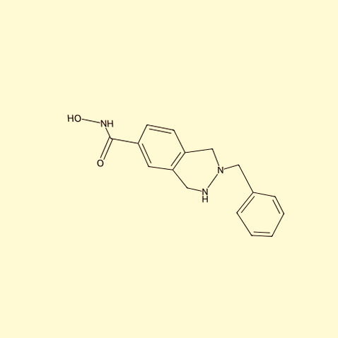 O=C(NO)c1ccc2c(c1)CNN(Cc1ccccc1)C2